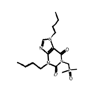 CCCCn1cnc2c1c(=O)n(CP(C)(C)=O)c(=O)n2CCCC